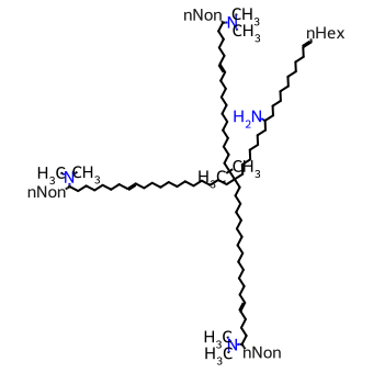 CCCCCCC=CCCCCCCCCCC(N)CCCCCCCC(CCCCCCCCCCCC=CCCCCCCC(CCCCCCCCC)N(C)C)(CCCCCCCCCCCCCCC=CCCCC(CCCCCCCCC)N(C)C)C(C)(C)CCCCCCCCCCCC=CCCCCC(CCCCCCCCC)N(C)C